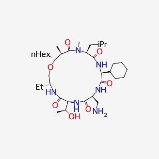 CCCCCC[C@H]1OC[C@@H](CC)NC(=O)[C@H]([C@H](C)O)NC(=O)[C@H](CN)NC(=O)[C@H](C2CCCCC2)NC(=O)[C@H](CC(C)C)N(C)C(=O)[C@@H]1C